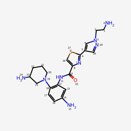 NCCn1cc(-c2nc(C(=O)Nc3cc(N)ccc3N3CCCC(N)C3)cs2)cn1